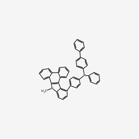 Cn1c2cccc(-c3ccc(N(c4ccccc4)c4ccc(-c5ccccc5)cc4)cc3)c2c2c3ccccc3c3ccccc3c21